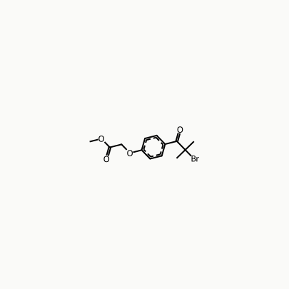 COC(=O)COc1ccc(C(=O)C(C)(C)Br)cc1